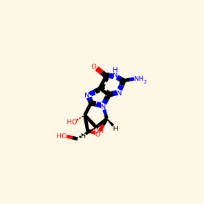 Nc1nc2c(nc3n2[C@@H]2O[C@H](CO)[C@]3(O)[C@H]2O)c(=O)[nH]1